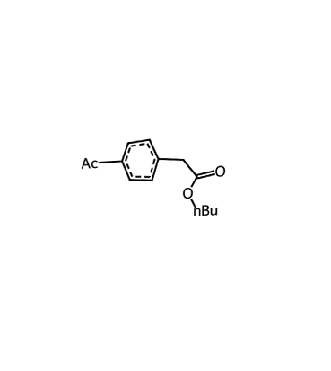 CCCCOC(=O)Cc1ccc(C(C)=O)cc1